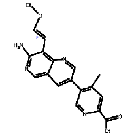 CCO/C=C/c1c(N)ncc2cc(-c3cnc(C(=O)CC)cc3C)cnc12